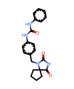 O=C(Nc1ccccc1)Nc1ccc(CN2C(=O)[N]C(=O)C23CCCC3)cc1